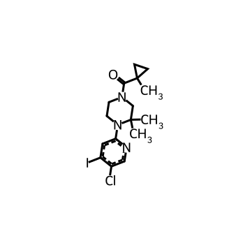 CC1(C(=O)N2CCN(c3cc(I)c(Cl)cn3)C(C)(C)C2)CC1